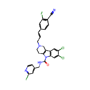 N#Cc1ccc(/C=C/CN2CCc3c(c4cc(Cl)c(Cl)cc4n3C(=O)NCc3ccnc(F)c3)C2)cc1F